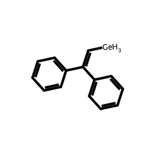 [GeH3][CH]=C(c1ccccc1)c1ccccc1